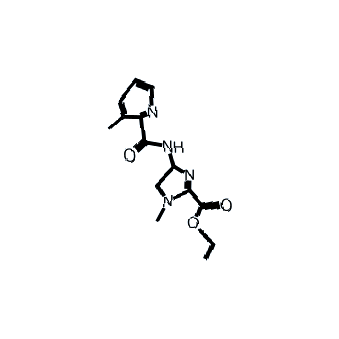 CCOC(=O)C1=NC(NC(=O)c2ncccc2C)CN1C